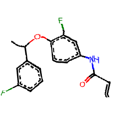 C=CC(=O)Nc1ccc(OC(C)c2cccc(F)c2)c(F)c1